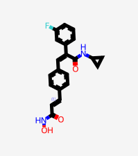 O=C(/C=C/c1ccc(C=C(C(=O)NC2CC2)c2cccc(F)c2)cc1)NO